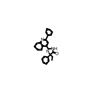 CCC1(c2ccccc2)N=C(c2cc(-c3ccccc3)nc3ccccc23)NC1=O